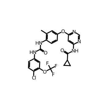 Cc1cc(Oc2cc(NC(=O)C3CC3)ncn2)ccc1NC(=O)Nc1ccc(Cl)c(OC(F)(F)F)c1